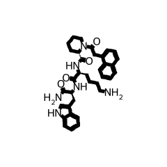 NCCCC[C@H](NC(=O)[C@@H]1CCCCN1C(=O)Cc1cccc2ccccc12)C(=O)N[C@@H](Cc1c[nH]c2ccccc12)C(N)=O